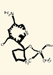 CC(C)(C)[Si](C)(C)OC1(c2ncc(N)cc2Cl)CCC1